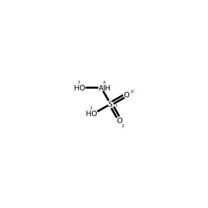 O=[S](=O)(O)[AlH][OH]